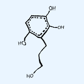 OCCCc1c(O)ccc(O)c1O